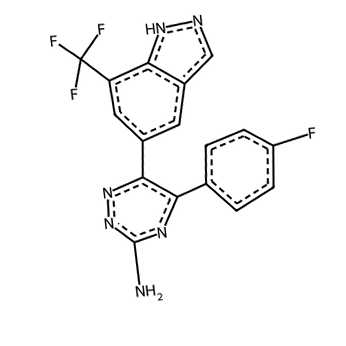 Nc1nnc(-c2cc(C(F)(F)F)c3[nH]ncc3c2)c(-c2ccc(F)cc2)n1